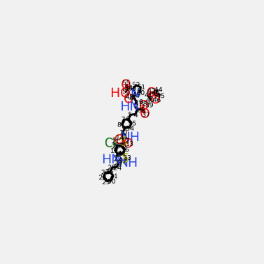 C[C@H](NC(CCc1ccc(CNS(=O)(=O)c2cc3c(cc2Cl)NC(CCc2ccccc2)NS3)cc1)C(=O)OC[C@@H]1COC(C)(C)O1)C(=O)N1CCC[C@H]1C(=O)O